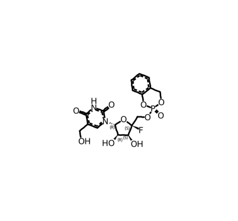 O=c1[nH]c(=O)n([C@@H]2O[C@](F)(COP3(=O)OCc4ccccc4O3)[C@@H](O)[C@H]2O)cc1CO